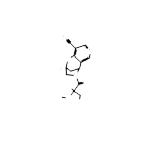 CCC(C)(OC)C(=O)N1C[C@@H]2C[C@H]1c1cncc(C#N)c1O2